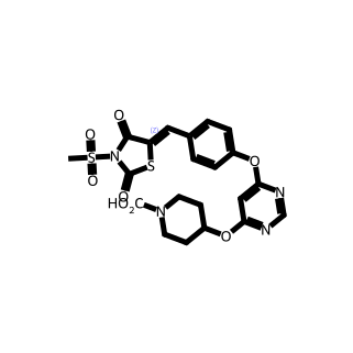 CS(=O)(=O)N1C(=O)S/C(=C\c2ccc(Oc3cc(OC4CCN(C(=O)O)CC4)ncn3)cc2)C1=O